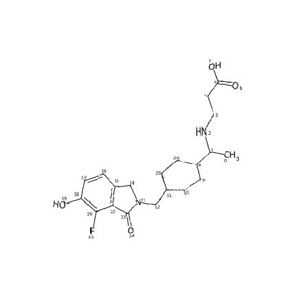 CC(NCCC(=O)O)C1CCC(CN2Cc3ccc(O)c(F)c3C2=O)CC1